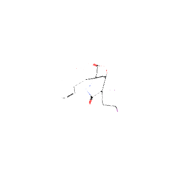 CC/C=C\[C@H](CC)[C@H](O)[C@@]12NC(=O)[C@](I)(CCI)[C@]1(C)OC2=O